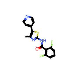 Cc1nc(NC(=O)c2c(F)cccc2F)sc1-c1ccncc1